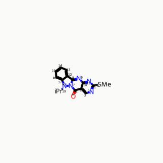 CSc1ncc2c(=O)n3c(nc2n1)c1ccccc1n3C(C)C